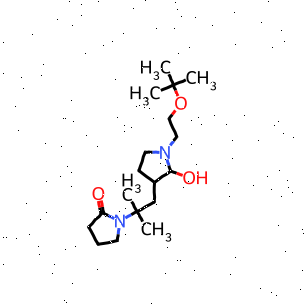 CC(C)(C)OCCN1CCC(CC(C)(C)N2CCCC2=O)C1O